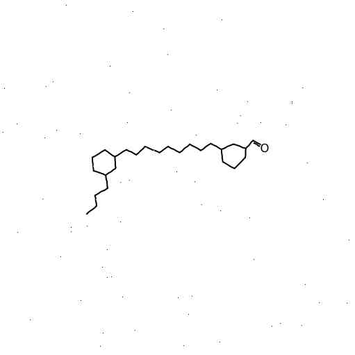 CCCCC1CCCC(CCCCCCCCCC2CCCC(C=O)C2)C1